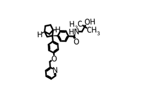 CC(C)(O)CNC(=O)c1ccc([C@@]2(c3ccc(OCc4ccccn4)cc3)C[C@@H]3CC[C@H]2C3)cc1